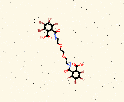 O=C(O)c1c(Br)c(Br)c(Br)c(Br)c1C(=O)NCCOCCOCCNC(=O)c1c(Br)c(Br)c(Br)c(Br)c1C(=O)O